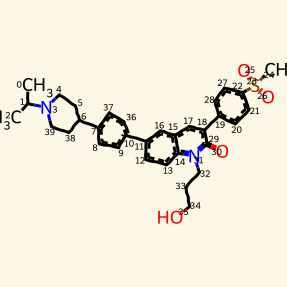 CC(C)N1CCC(c2ccc(-c3ccc4c(c3)cc(-c3ccc(S(C)(=O)=O)cc3)c(=O)n4CCCO)cc2)CC1